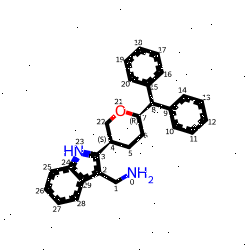 NCc1c([C@@H]2CC[C@H](C(c3ccccc3)c3ccccc3)OC2)[nH]c2ccccc12